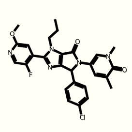 CCCn1c(-c2cc(OC)ncc2F)nc2c1C(=O)N(c1cc(C)c(=O)n(C)c1)C2c1ccc(Cl)cc1